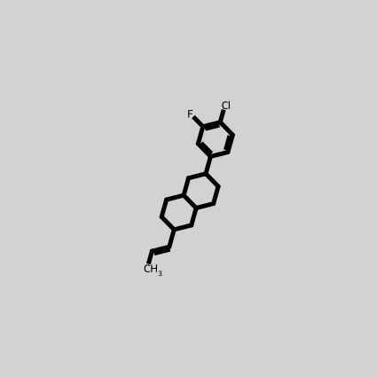 C/C=C/C1CCC2CC(c3ccc(Cl)c(F)c3)CCC2C1